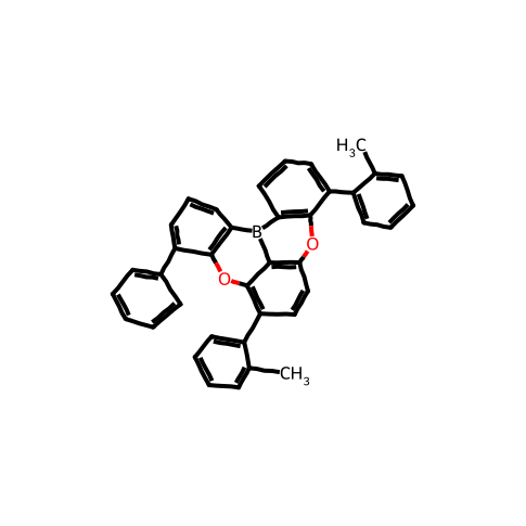 Cc1ccccc1-c1cccc2c1Oc1ccc(-c3ccccc3C)c3c1B2c1cccc(-c2ccccc2)c1O3